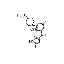 Cc1cc(Nc2cc(C)[nH]n2)nc(C2(O)CCC(C(=O)O)CC2)c1